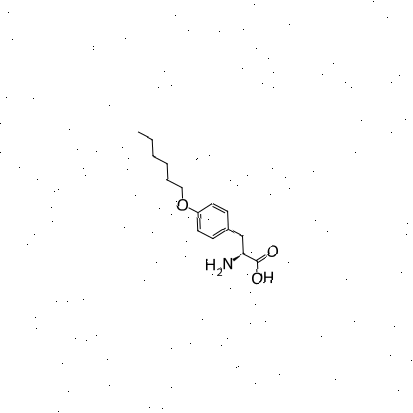 CCCCCCOc1ccc(C[C@H](N)C(=O)O)cc1